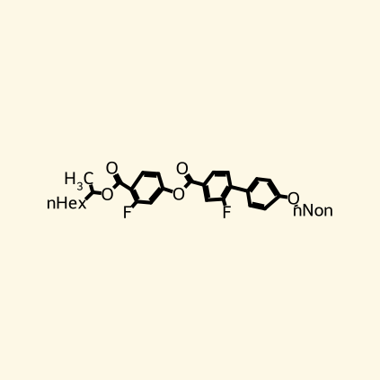 CCCCCCCCCOc1ccc(-c2ccc(C(=O)Oc3ccc(C(=O)OC(C)CCCCCC)c(F)c3)cc2F)cc1